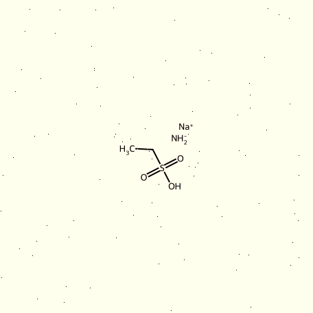 CCS(=O)(=O)O.[NH2-].[Na+]